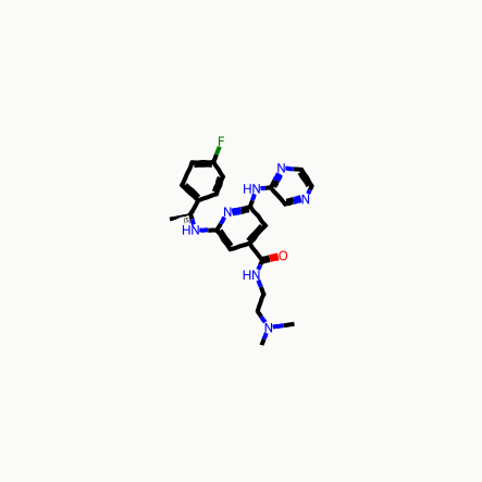 C[C@H](Nc1cc(C(=O)NCCN(C)C)cc(Nc2cnccn2)n1)c1ccc(F)cc1